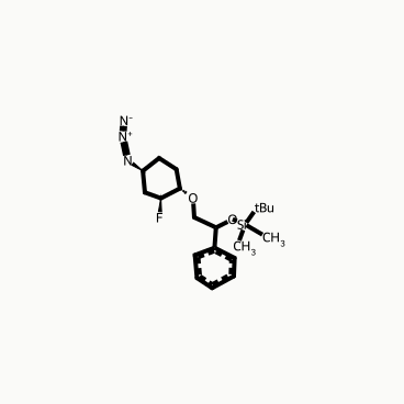 CC(C)(C)[Si](C)(C)OC(CO[C@H]1CC[C@H](N=[N+]=[N-])C[C@@H]1F)c1ccccc1